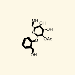 CC(=O)O[C@H]1[C@H](Oc2ccccc2CO)O[C@H](CO)[C@@H](O)[C@@H]1O